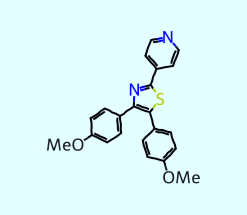 COc1ccc(-c2nc(-c3ccncc3)sc2-c2ccc(OC)cc2)cc1